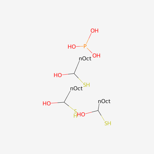 CCCCCCCCC(O)S.CCCCCCCCC(O)S.CCCCCCCCC(O)S.OP(O)O